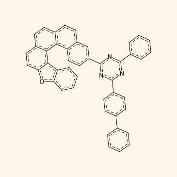 c1ccc(-c2ccc(-c3nc(-c4ccccc4)nc(-c4ccc5c(ccc6ccc7ccc8oc9ccccc9c8c7c65)c4)n3)cc2)cc1